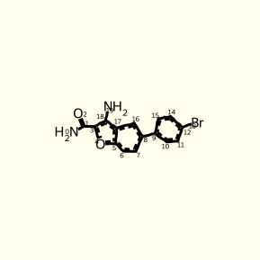 NC(=O)c1oc2ccc(-c3ccc(Br)cc3)cc2c1N